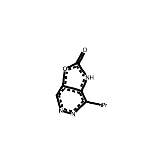 CC(C)c1nncc2oc(=O)[nH]c12